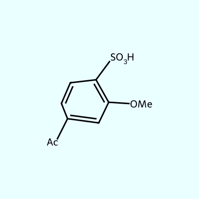 COc1cc(C(C)=O)ccc1S(=O)(=O)O